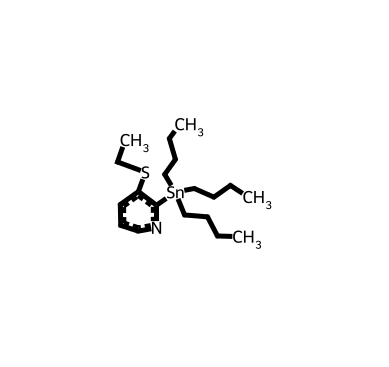 CCC[CH2][Sn]([CH2]CCC)([CH2]CCC)[c]1ncccc1SCC